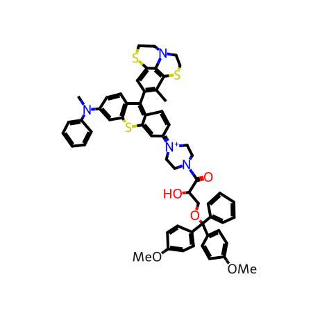 COc1ccc(C(OCC(O)C(=O)N2CC[N+](=c3ccc4c(-c5cc6c7c(c5C)SCCN7CCS6)c5ccc(N(C)c6ccccc6)cc5sc-4c3)CC2)(c2ccccc2)c2ccc(OC)cc2)cc1